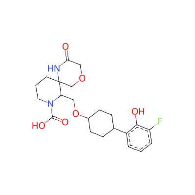 O=C1COCC2(CCCN(C(=O)O)C2COC2CCC(c3cccc(F)c3O)CC2)N1